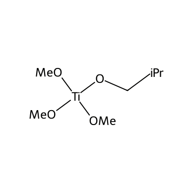 C[O][Ti]([O]C)([O]C)[O]CC(C)C